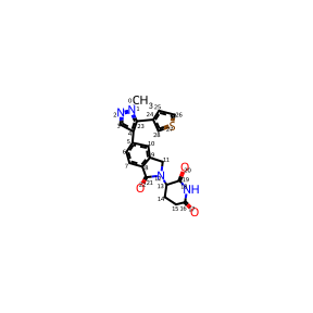 Cn1ncc(-c2ccc3c(c2)CN(C2CCC(=O)NC2=O)C3=O)c1-c1ccsc1